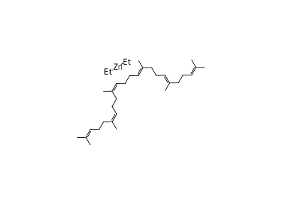 CC(C)=CCCC(C)=CCCC(C)=CCCC=C(C)CCC=C(C)CCC=C(C)C.C[CH2][Zn][CH2]C